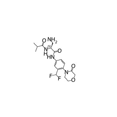 CC(C)C(=O)N[C@@H](CN)C(=O)Nc1ccc(N2CCOCC2=O)c(C(F)F)c1